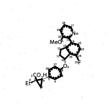 CC[C@]1(C(=O)O)C[C@H]1c1ccc(O[C@@H]2CCc3c(-c4ncccc4OC)ccc(F)c32)cc1